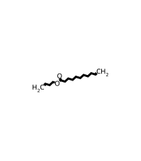 C=CCCCCCCCCC(=O)OCCC=C